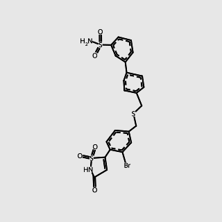 NS(=O)(=O)c1cccc(-c2ccc(CSCc3ccc(C4=CC(=O)NS4(=O)=O)c(Br)c3)cc2)c1